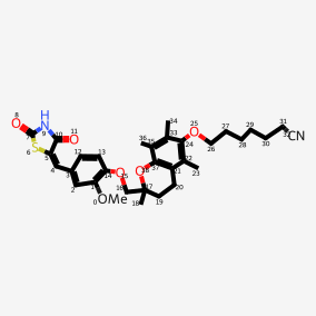 COc1cc(/C=C2/SC(=O)NC2=O)ccc1OCC1(C)CCc2c(C)c(OCCCCCCC#N)c(C)c(C)c2O1